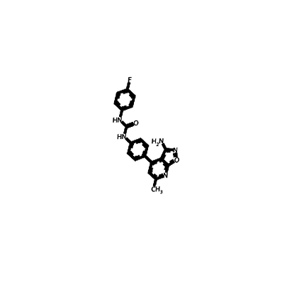 Cc1cc(-c2ccc(NC(=O)Nc3ccc(F)cc3)cc2)c2c(N)noc2n1